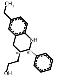 CCc1ccc2c(c1)C[C@H](CCO)[C@@H](c1ccccc1)N2